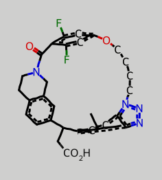 Cc1c2ccc3c1nnn3CCCCOc1cc(F)c(c(F)c1)C(=O)N1CCc3ccc(cc3C1)C2CC(=O)O